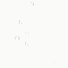 O=C(Nc1nc(C#CC2CCOCC2)cs1)c1cccn1Cc1ccncc1